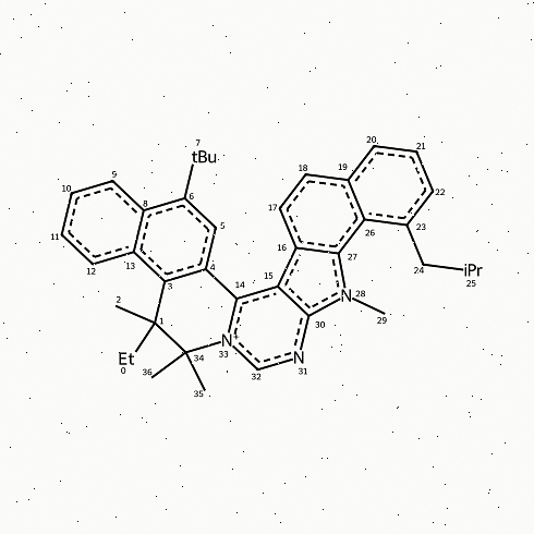 CCC1(C)c2c(cc(C(C)(C)C)c3ccccc23)-c2c3c4ccc5cccc(CC(C)C)c5c4n(C)c3nc[n+]2C1(C)C